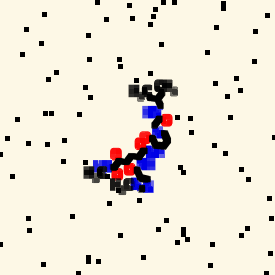 CCC(CC)CNC(=O)Cn1cccc(NC(=O)C(CCC(=O)C(=O)NC)NC(=O)c2cncn2C)c1=O